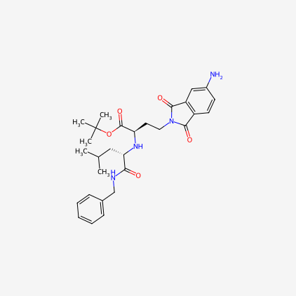 CC(C)C[C@H](N[C@H](CCN1C(=O)c2ccc(N)cc2C1=O)C(=O)OC(C)(C)C)C(=O)NCc1ccccc1